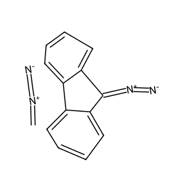 C=[N+]=[N-].[N-]=[N+]=C1c2ccccc2-c2ccccc21